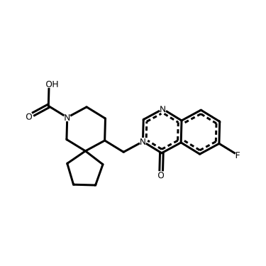 O=C(O)N1CCC(Cn2cnc3ccc(F)cc3c2=O)C2(CCCC2)C1